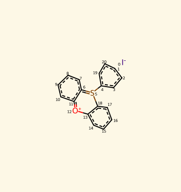 [I-].c1ccc(S2=c3ccccc3=[O+]c3ccccc32)cc1